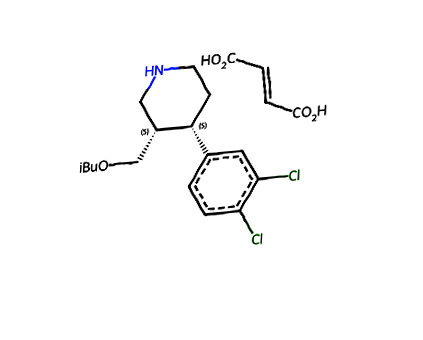 CC(C)COC[C@@H]1CNCC[C@@H]1c1ccc(Cl)c(Cl)c1.O=C(O)C=CC(=O)O